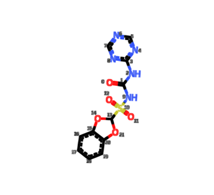 O=C(Nc1ncncn1)NS(=O)(=O)C1Oc2ccccc2O1